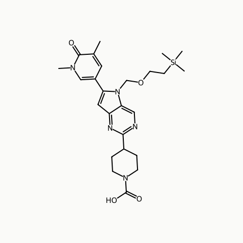 Cc1cc(-c2cc3nc(C4CCN(C(=O)O)CC4)ncc3n2COCC[Si](C)(C)C)cn(C)c1=O